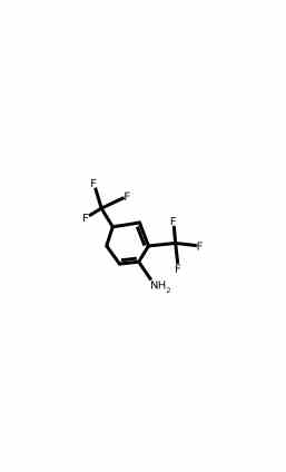 NC1=CCC(C(F)(F)F)C=C1C(F)(F)F